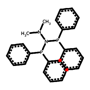 CN(C)N(P(c1ccccc1)c1ccccc1)P(c1ccccc1)c1ccccc1